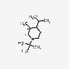 CC(C)C1CCN(C(C)(C)C)CC1C